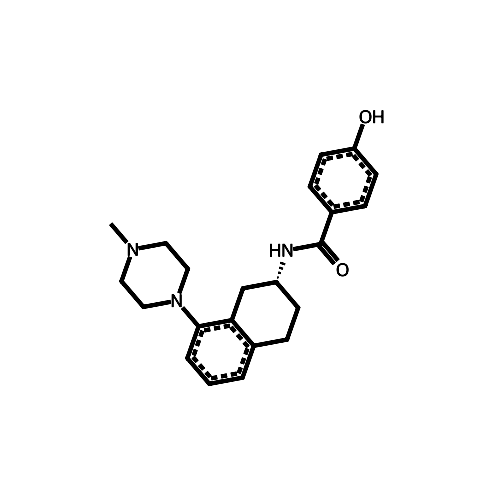 CN1CCN(c2cccc3c2C[C@H](NC(=O)c2ccc(O)cc2)CC3)CC1